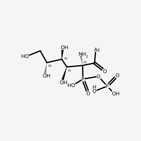 CC(=O)C(=O)[C@](N)([C@@H](O)[C@H](O)[C@H](O)CO)P(=O)(O)OP(=O)(O)O